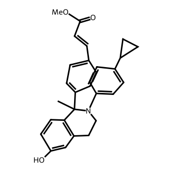 COC(=O)/C=C/c1ccc(C2(C)c3ccc(O)cc3CCN2c2ccc(C3CC3)cc2)cc1